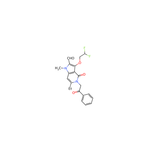 CCc1cc2c(c(OCC(F)F)c(C=O)n2C)c(=O)n1CC(=O)c1ccccc1